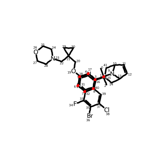 CC(C)(c1ccccc1)N1C2C=CC1CN(c1nc(OCC3(CN4CCOCC4)CC3)nc3c(F)c(Br)c(Cl)cc13)C2